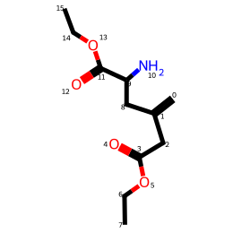 C=C(CC(=O)OCC)CC(N)C(=O)OCC